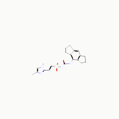 CCn1cc(C)nc1/C=C/S(=O)(=O)NC(=O)Nc1c2c(cc3c1CCC3)CCC2